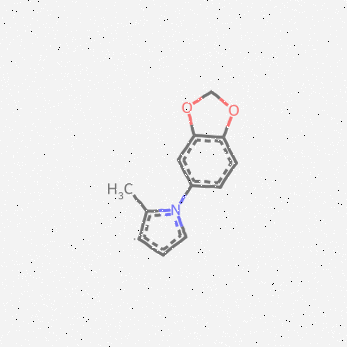 Cc1[c]ccn1-c1ccc2c(c1)OCO2